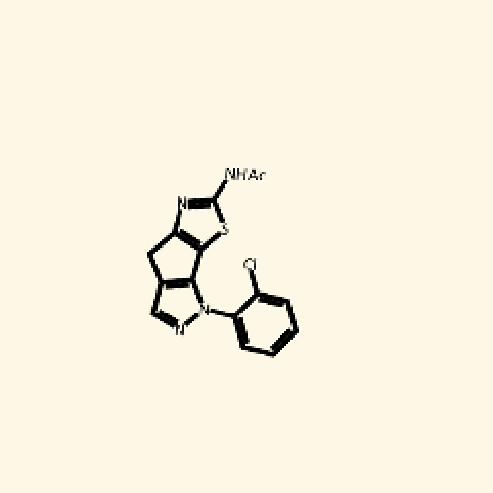 CC(=O)Nc1nc2c(s1)-c1c(cnn1-c1ccccc1Cl)C2